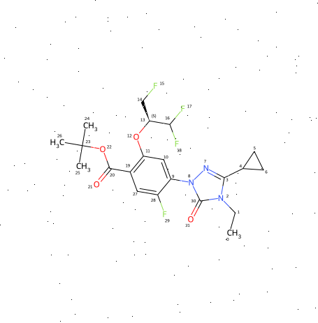 CCn1c(C2CC2)nn(-c2cc(O[C@@H](CF)C(F)F)c(C(=O)OC(C)(C)C)cc2F)c1=O